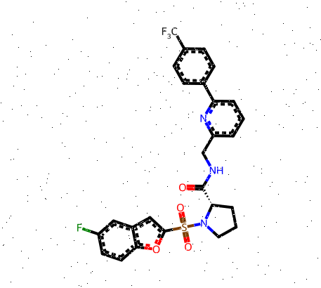 O=C(NCc1cccc(-c2ccc(C(F)(F)F)cc2)n1)[C@@H]1CCCN1S(=O)(=O)c1cc2cc(F)ccc2o1